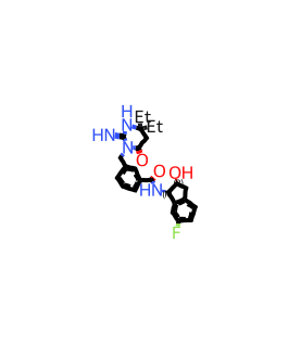 CCC1(CC)CC(=O)N(Cc2cccc(C(=O)N[C@@H]3c4cc(F)ccc4C[C@H]3O)c2)C(=N)N1